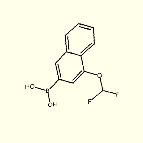 OB(O)c1cc(OC(F)F)c2ccccc2c1